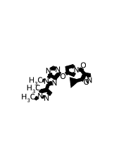 CCn1ncc(-c2nc3c(OC4CCN(C(=O)c5cnoc5C5CC5)C4)ncnc3n2C)c1C